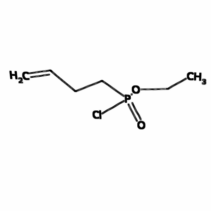 C=CCCP(=O)(Cl)OCC